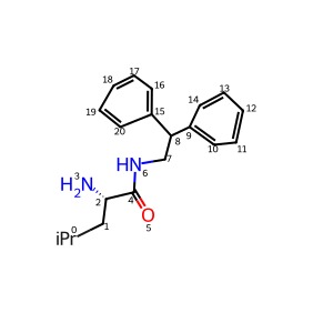 CC(C)C[C@H](N)C(=O)NCC(c1ccccc1)c1ccccc1